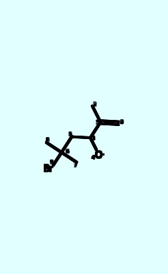 C=C(C)C([O])CC(C)(C)Br